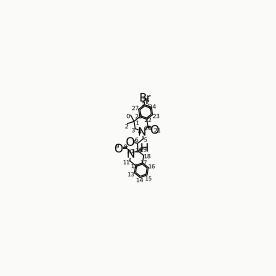 CC1(C)CN(CC2OC(=O)N3Cc4ccccc4C[C@@H]23)C(=O)c2ccc(Br)cc21